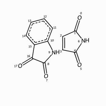 O=C1C=CC(=O)N1.O=C1Nc2ccccc2C1=O